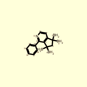 BC1(B)CC(B)(B)c2c1ccnc2-c1ccccc1